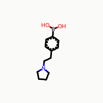 OB(O)c1ccc(CCN2CCCC2)cc1